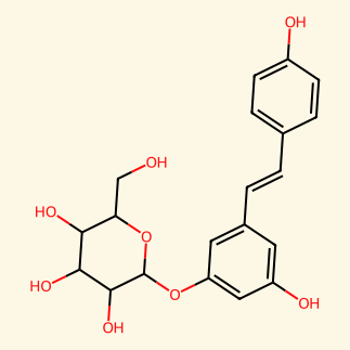 OCC1OC(Oc2cc(O)cc(/C=C/c3ccc(O)cc3)c2)C(O)C(O)C1O